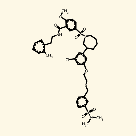 COc1ccc(S(=O)(=O)N2CCCCC(c3cc(Cl)cc(OCCSCc4cccc(S(=O)(=O)N(C)C)c4)c3)C2)cc1C(=O)NCCc1ccccc1C